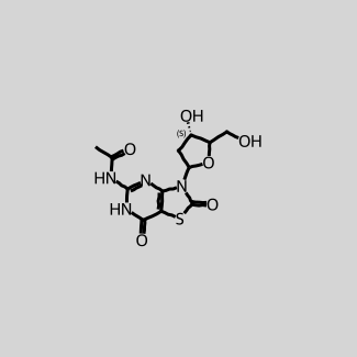 CC(=O)Nc1nc2c(sc(=O)n2C2C[C@H](O)C(CO)O2)c(=O)[nH]1